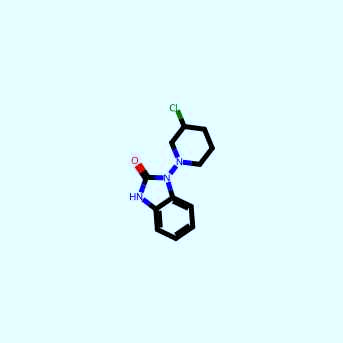 O=c1[nH]c2ccccc2n1N1CCCC(Cl)C1